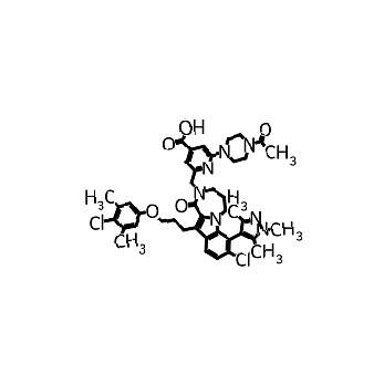 CC(=O)N1CCN(c2cc(C(=O)O)cc(CN3CCCn4c(c(CCCOc5cc(C)c(Cl)c(C)c5)c5ccc(Cl)c(-c6c(C)nn(C)c6C)c54)C3=O)n2)CC1